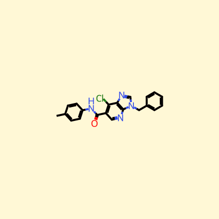 Cc1ccc(NC(=O)c2cnc3c(ncn3Cc3ccccc3)c2Cl)cc1